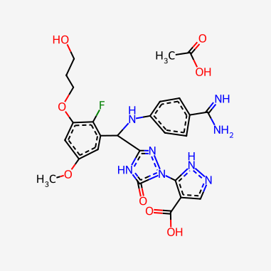 CC(=O)O.COc1cc(OCCCO)c(F)c(C(Nc2ccc(C(=N)N)cc2)c2nn(-c3[nH]ncc3C(=O)O)c(=O)[nH]2)c1